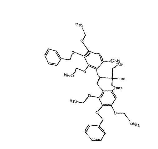 COCOc1cc(C(=O)O)c(CC(c2c(C(=O)O)cc(OCOC)c(OCc3ccccc3)c2OCOC)C(O)(CO)CO)c(OCOC)c1OCc1ccccc1